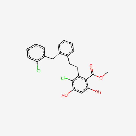 COC(=O)c1c(O)cc(O)c(Cl)c1CCc1ccccc1Cc1ccccc1Cl